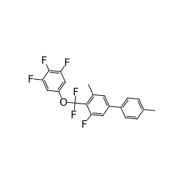 Cc1ccc(-c2cc(C)c(C(F)(F)Oc3cc(F)c(F)c(F)c3)c(F)c2)cc1